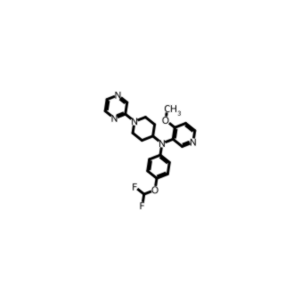 COc1ccncc1N(c1ccc(OC(F)F)cc1)C1CCN(c2cnccn2)CC1